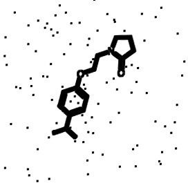 CC(C)c1ccc(OCCN2CCCC2=O)cc1